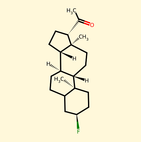 CC(=O)[C@H]1CC[C@H]2[C@@H]3CCC4C[C@H](F)CC[C@]4(C)[C@H]3CC[C@]12C